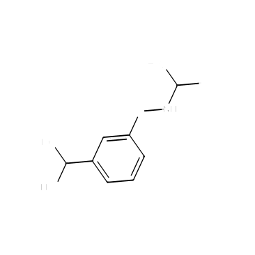 CC(C)NSc1cccc(C(C)C)c1